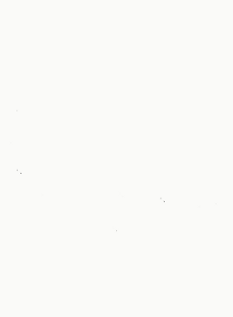 Cc1cc(-c2nc3ccc(C4(c5ccccc5)CC4)nc3s2)cc(C)c1CN1CC(OC(=O)O)C1